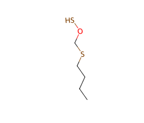 CCCCSCOS